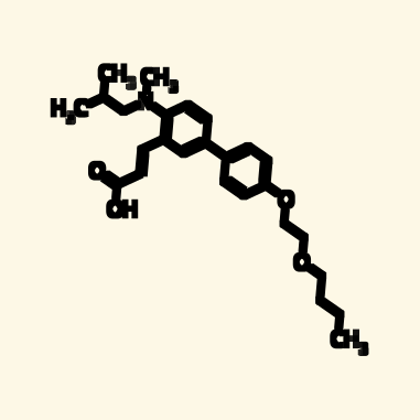 CCCCOCCOc1ccc(-c2ccc(N(C)CC(C)C)c(C=CC(=O)O)c2)cc1